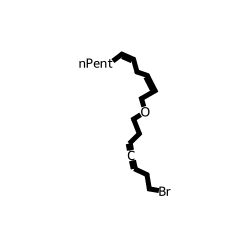 CCCCC/C=C\C/C=C\COCCC=C=CCCBr